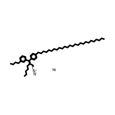 CCCCCCCCCCCCCCCCCCCCCCCCCCc1ccc(C(=C(C=C=[N+]=[N-])CCCCC)c2cccc(CCCC)c2)cc1.[Ni]